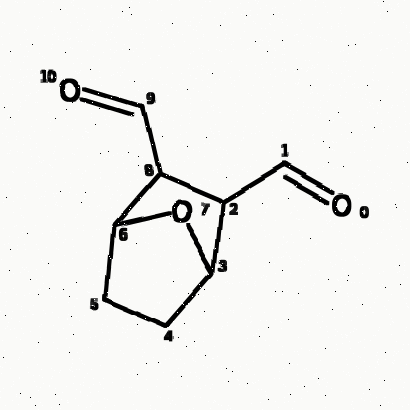 O=CC1C2CCC(O2)C1C=O